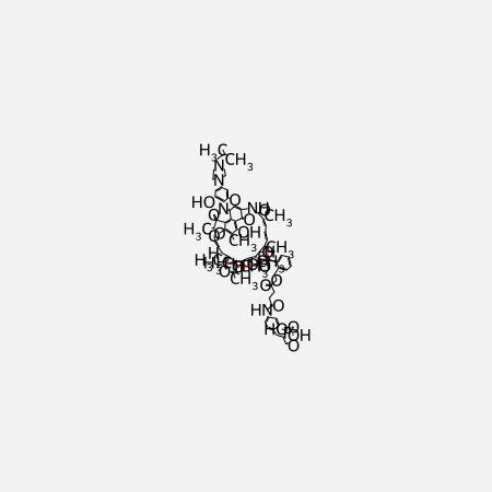 CC(=O)O[C@H]1[C@H](C)[C@H](O)[C@H](C)[C@@H](OC(=O)c2ccccc2COC(=O)CCC(=O)Nc2ccc(CC(C=O)P(=O)(O)O)cc2)[C@@H](C)/C=C/C=C(/C)C(=O)Nc2c3oc4cc(N5CCN(CC(C)C)CC5)cc(O)c4nc-3c3c4c(c(C)c(O)c3c2=O)O[C@](C)(O/C=C/[C@H](C)[C@H]1C)C4=O